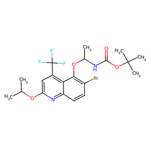 CC(C)Oc1cc(C(F)(F)F)c2c(OC(C)NC(=O)OC(C)(C)C)c(Br)ccc2n1